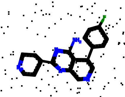 Nc1nc(-c2ccncc2)nc2cncc(-c3ccc(F)cc3)c12